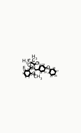 COc1cccc(F)c1C1OC(C)(C)C(=O)N1Cc1ccc(Oc2ccccc2)cc1